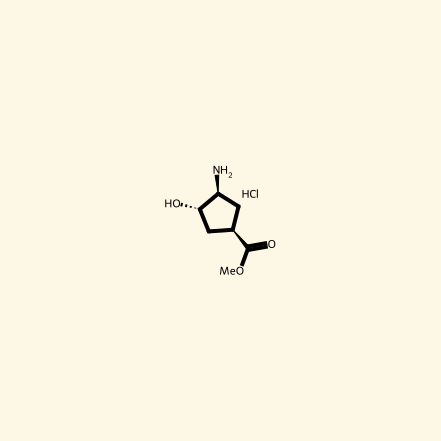 COC(=O)[C@@H]1C[C@H](N)[C@@H](O)C1.Cl